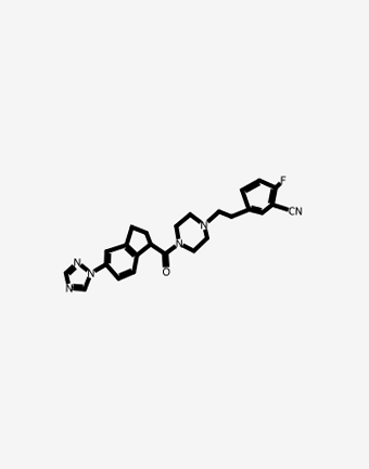 N#Cc1cc(CCN2CCN(C(=O)C3CCc4cc(-n5cncn5)ccc43)CC2)ccc1F